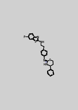 Fc1ccc2nc(NCCc3ccc(/N=C4/NC(c5ccccc5)CCS4)cc3)sc2c1